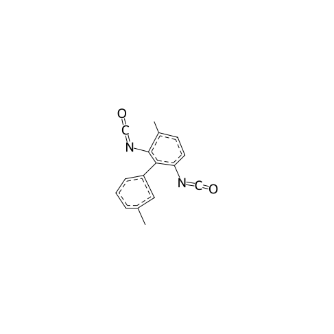 Cc1cccc(-c2c(N=C=O)ccc(C)c2N=C=O)c1